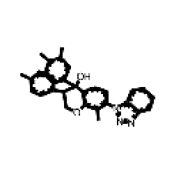 Cc1ccc(C2COc3c(ccc(-n4nnc5ccccc54)c3C)C2(O)c2ccc(C)c(C)c2)cc1